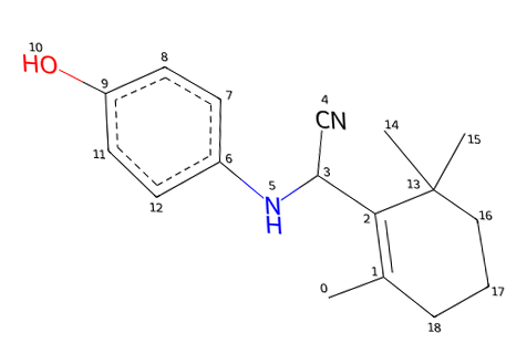 CC1=C(C(C#N)Nc2ccc(O)cc2)C(C)(C)CCC1